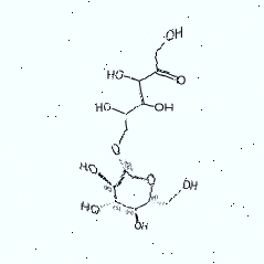 O=C(CO)C(O)C(O)C(O)CO[C@@H]1O[C@H](CO)[C@@H](O)[C@H](O)[C@H]1O